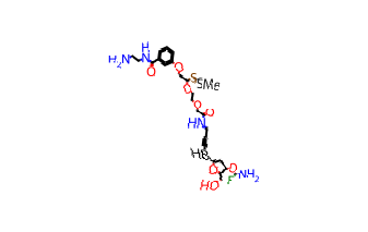 CSSC(COc1cccc(C(=O)NCCN)c1)OCCOCC(=O)NCC#CB[C@H]1C[C@@H](O[C@H](N)F)C(CO)O1